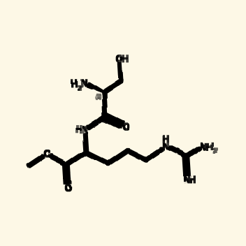 COC(=O)C(CCCNC(=N)N)NC(=O)[C@@H](N)CO